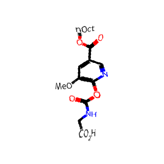 CCCCCCCCOC(=O)c1cnc(OC(=O)NCC(=O)O)c(OC)c1